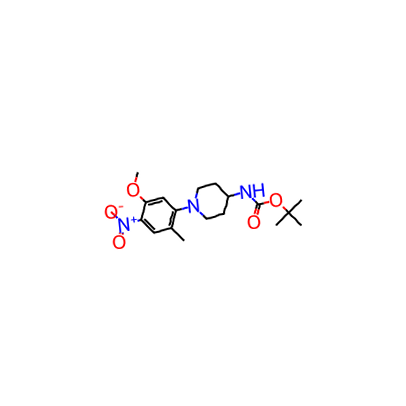 COc1cc(N2CCC(NC(=O)OC(C)(C)C)CC2)c(C)cc1[N+](=O)[O-]